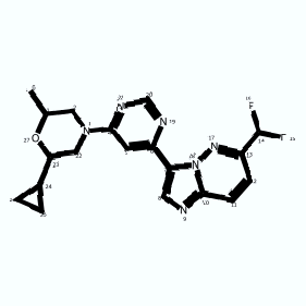 [CH2]C1CN(c2cc(-c3cnc4ccc(C(F)F)nn34)ncn2)CC(C2CC2)O1